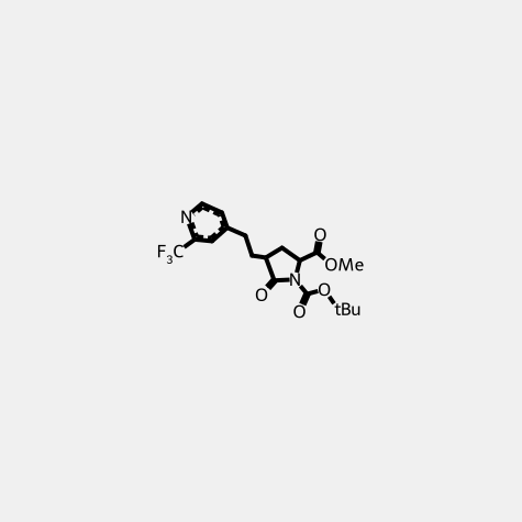 COC(=O)C1CC(CCc2ccnc(C(F)(F)F)c2)C(=O)N1C(=O)OC(C)(C)C